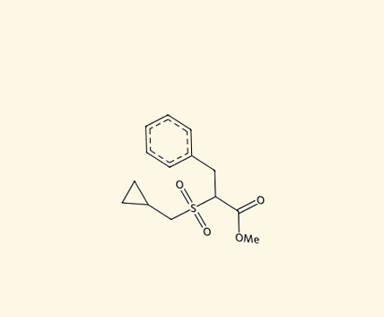 COC(=O)C(Cc1ccccc1)S(=O)(=O)CC1CC1